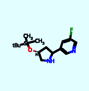 CC(C)(C)[Si](C)(C)O[C@H]1CNC(c2cncc(F)c2)C1